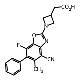 Cc1c(-c2ccccc2)c(F)c2oc(N3CC(CC(=O)O)C3)nc2c1C#N